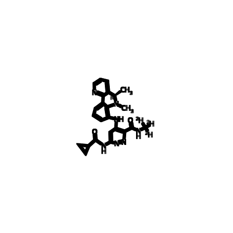 [2H]C([2H])([2H])NC(=O)c1nnc(NC(=O)C2CC2)cc1Nc1cccc2c1N(C)[C@H](C)c1cccnc1-2